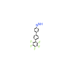 N=Nc1ccc(-c2ccc(-c3c(F)c(F)c(F)c(F)c3F)cc2)cc1